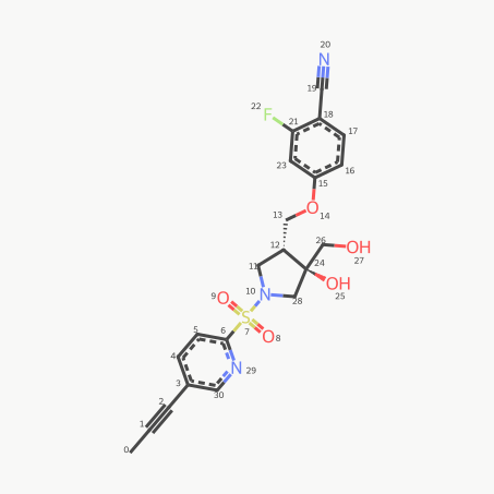 CC#Cc1ccc(S(=O)(=O)N2C[C@H](COc3ccc(C#N)c(F)c3)[C@](O)(CO)C2)nc1